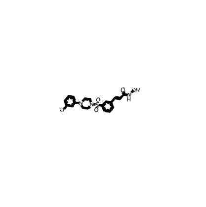 O=C(C=Cc1cccc(S(=O)(=O)N2CCN(c3cccc(Cl)c3)CC2)c1)NO